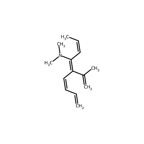 C=C\C=C/C(C(=C)C)=C(/C=C\C)N(C)C